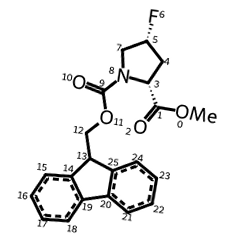 COC(=O)[C@H]1C[C@@H](F)CN1C(=O)OCC1c2ccccc2-c2ccccc21